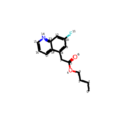 CCCCOC(=O)Cc1cc(F)cc2ncccc12